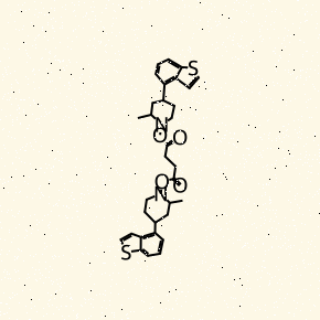 CC1CC(c2cccc3sccc23)CCN1OC(=O)CCC(=O)ON1CCC(c2cccc3sccc23)CC1C